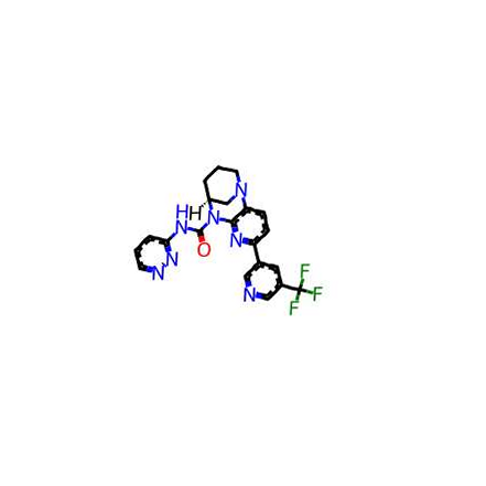 O=C(Nc1cccnn1)N1c2nc(-c3cncc(C(F)(F)F)c3)ccc2N2CCC[C@H]1C2